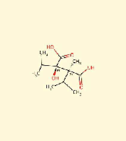 CC(C)[C@](C)(C(=O)O)[C@@](O)(C(=O)O)C(C)C